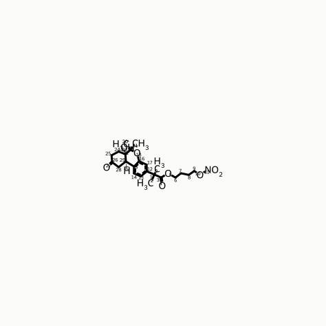 CC(C)(C(=O)OCCCCO[N+](=O)[O-])c1ccc2c(c1)OC(C)(C)[C@]1(O)CCC(=O)C[C@H]21